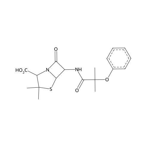 CC(C)(Oc1ccccc1)C(=O)NC1C(=O)N2C1SC(C)(C)C2C(=O)O